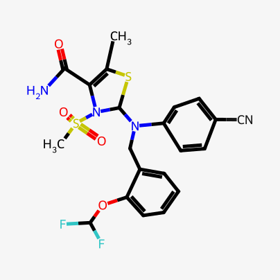 CC1=C(C(N)=O)N(S(C)(=O)=O)C(N(Cc2ccccc2OC(F)F)c2ccc(C#N)cc2)S1